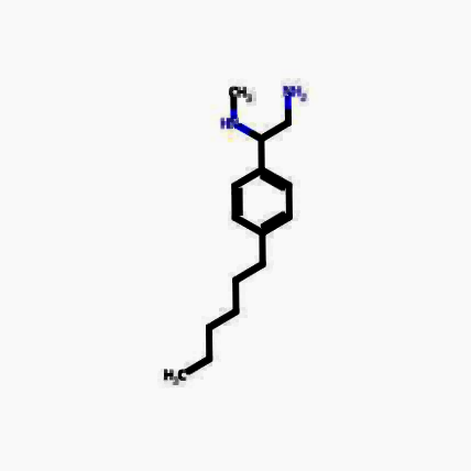 CCCCCCc1ccc(C(CN)NC)cc1